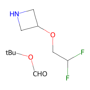 CC(C)(C)OC=O.FC(F)COC1CNC1